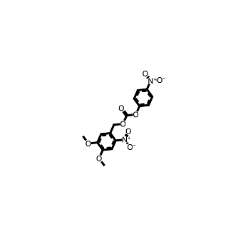 COc1cc(COC(=O)Oc2ccc([N+](=O)[O-])cc2)c([N+](=O)[O-])cc1OC